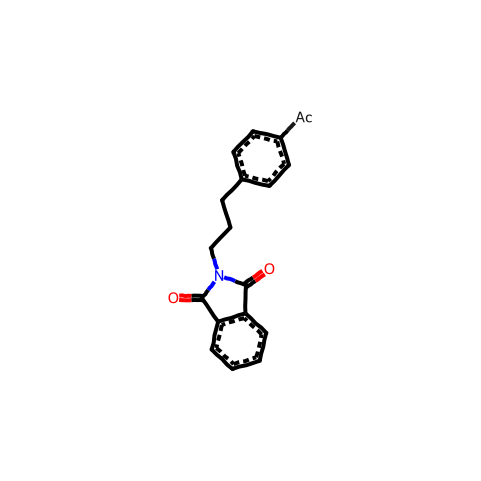 CC(=O)c1ccc(CCCN2C(=O)c3ccccc3C2=O)cc1